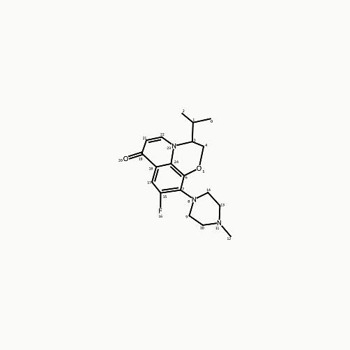 CC(C)C1COc2c(N3CCN(C)CC3)c(F)cc3c(=O)ccn1c23